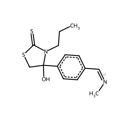 CCCN1C(=S)SCC1(O)c1ccc(/C=N\C)cc1